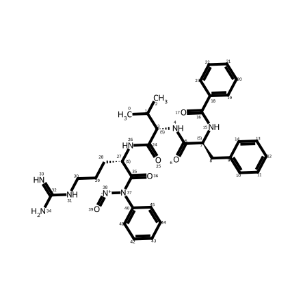 CC(C)[C@H](NC(=O)[C@H](Cc1ccccc1)NC(=O)c1ccccc1)C(=O)N[C@@H](CCCNC(=N)N)C(=O)N([N+]=O)c1ccccc1